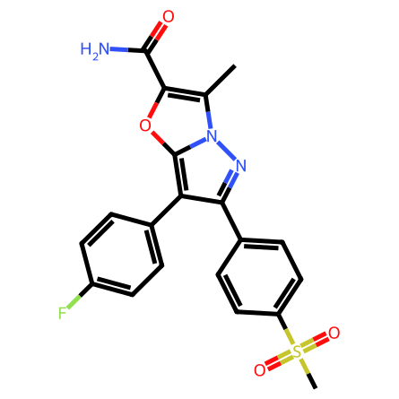 Cc1c(C(N)=O)oc2c(-c3ccc(F)cc3)c(-c3ccc(S(C)(=O)=O)cc3)nn12